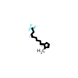 C=C1C=CC/C1=C\CCC/C=C\CC(F)(F)F